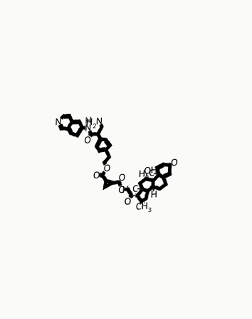 C[C@@H]1CC2[C@@H]3CCC4=CC(=O)C=C[C@]4(C)C3[C@@H](O)C[C@]2(C)[C@H]1C(=O)COC(=O)C1CC1C(=O)OCCc1ccc(C(CN)C(=O)Nc2ccc3cnccc3c2)cc1